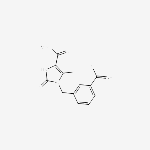 CCc1c(C(=O)OC)[nH]c(=O)n1Cc1cccc(C(=N)N)c1